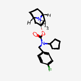 CN1[C@@H]2CC[C@H]1C[C@@H](OC(=O)N(Cc1ccc(F)cc1)C1CCCC1)C2